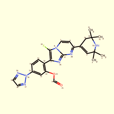 CC1(C)C=C(c2ccn3c(F)c(-c4ccc(-n5nccn5)cc4OC=O)nc3n2)CC(C)(C)N1